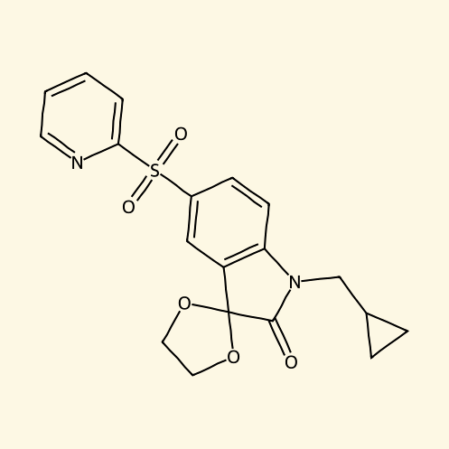 O=C1N(CC2CC2)c2ccc(S(=O)(=O)c3ccccn3)cc2C12OCCO2